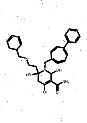 CCCC1(CCNCC2C=CC=CC2)CC(O)=C(C(N)=O)C(O)N1CC1=C=CC=C(c2ccccc2)C=C1